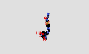 CN(C)C/C=C/C(=O)N1CC(S(=O)(=O)c2ccc(N3CC(CN4CCC(C(CN5CCOCC5)(c5cccc(F)c5)[C@H]5CCC[C@@H]5NC(=O)O)CC4)C3)cc2)C1